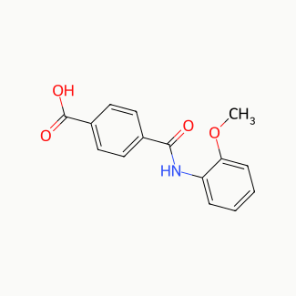 COc1ccccc1NC(=O)c1ccc(C(=O)O)cc1